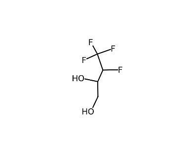 OCC(O)C(F)C(F)(F)F